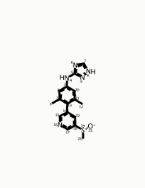 Cc1cc(Nc2nc[nH]n2)cc(C)c1-c1cncc([S+](C)[O-])c1